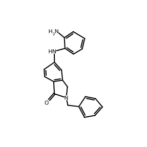 Nc1ccccc1Nc1ccc2c(c1)CN(Cc1ccccc1)C2=O